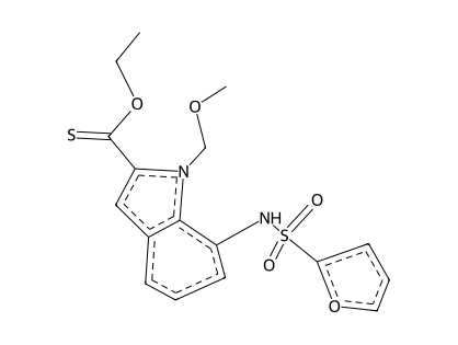 CCOC(=S)c1cc2cccc(NS(=O)(=O)c3ccco3)c2n1COC